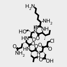 CC[C@H](C)[C@H](NC(=O)[C@@H](N)CCCCN)C(=O)N[C@@H](CO)C(=O)N[C@@H](CCC(N)=O)C(=O)N[C@@H](CC(C)C)C(=O)N[C@@H](CC(=O)O)C(=O)C(=O)CCl